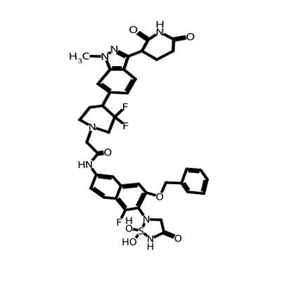 Cn1nc(C2CCC(=O)NC2=O)c2ccc(C3CCN(CC(=O)Nc4ccc5c(F)c(N6CC(=O)NS6(O)O)c(OCc6ccccc6)cc5c4)CC3(F)F)cc21